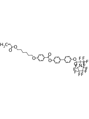 C=CC(=O)OCCCCCCOc1ccc(C(=O)Oc2ccc(-c3ccc(OC(=O)C(F)(N4C(F)(F)C(F)(F)C(F)(F)C4(F)F)C(F)(F)F)cc3)cc2)cc1